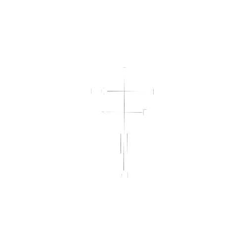 CC#CC(F)(F)C(C)(C)F